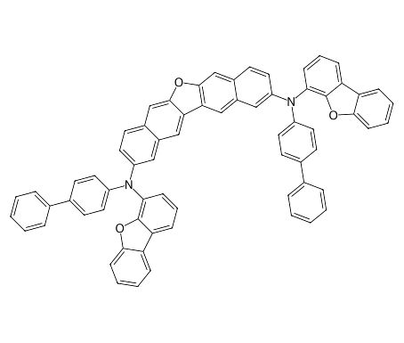 c1ccc(-c2ccc(N(c3ccc4cc5oc6cc7ccc(N(c8ccc(-c9ccccc9)cc8)c8cccc9c8oc8ccccc89)cc7cc6c5cc4c3)c3cccc4c3oc3ccccc34)cc2)cc1